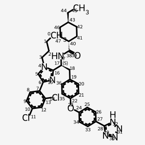 CCCCn1cc(-c2ccc(Cl)cc2Cl)nc1[C@H](Cc1ccc(Oc2ccc(-c3nnn[nH]3)cc2)cc1)NC(=O)[C@H]1CC[C@H](CC)CC1